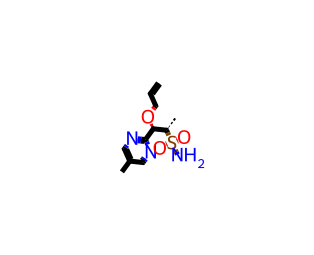 C=CCO[C@H](c1ncc(C)cn1)[C@H](C)S(N)(=O)=O